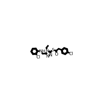 CCn1c(CNc2ccccc2Cl)nnc1SC(=O)Cc1ccc(Cl)cc1